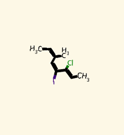 C\C=C(C)/C=C(I)\C(Cl)=C\C